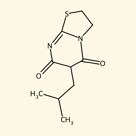 CC(C)CC1C(=O)N=C2SCCN2C1=O